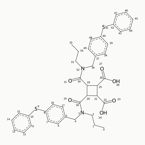 CCCN(Cc1ccc(Sc2ccccc2)cc1)C(=O)C1C(C(=O)O)C(C(=O)O)C1C(=O)N(CCC)Cc1ccc(Sc2ccccc2)cc1